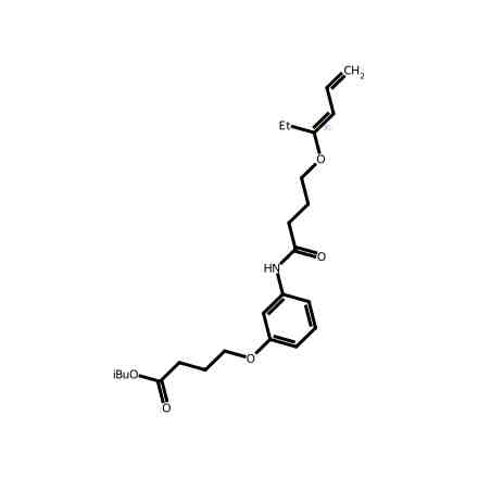 C=C/C=C(\CC)OCCCC(=O)Nc1cccc(OCCCC(=O)OCC(C)C)c1